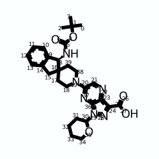 CC(C)(C)OC(=O)N[C@@H]1c2ccccc2CC12CCN(c1cnc3c(C(=O)O)nn(C4CCCCO4)c3n1)CC2